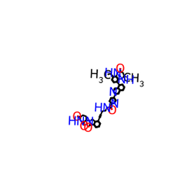 CCc1ccc(-c2cccc3cc(-c4ccc(C(=O)NCCC#Cc5cccc6c5CN(C5CCC(=O)NC5=O)C6=O)nc4)ncc23)c2c1NC(=O)C[C@@H](C)N2